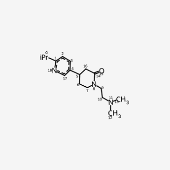 CC(C)c1ccc(C2CCN(CCN(C)C)C(=O)C2)cn1